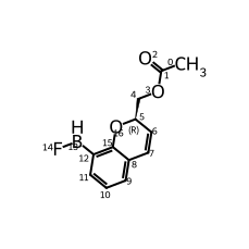 CC(=O)OC[C@H]1C=Cc2cccc(BF)c2O1